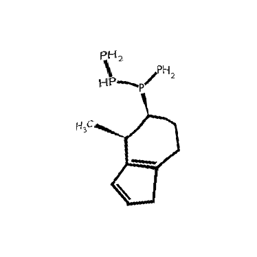 C[C@@H]1C2=C(CC=C2)CC[C@@H]1P(P)PP